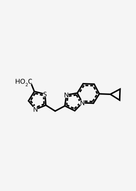 O=C(O)c1cnc(Cc2cn3cc(C4CC4)ccc3n2)s1